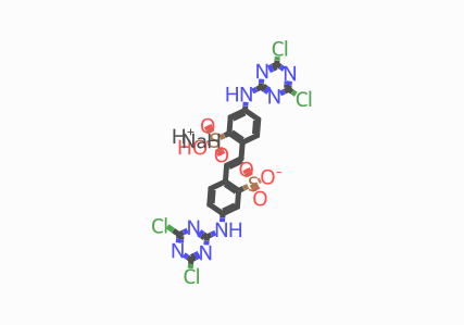 O=S(=O)([O-])c1cc(Nc2nc(Cl)nc(Cl)n2)ccc1C=Cc1ccc(Nc2nc(Cl)nc(Cl)n2)cc1S(=O)(=O)O.[H+].[NaH]